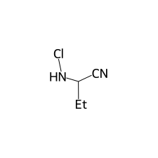 CCC(C#N)NCl